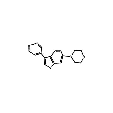 c1cncc(-c2csc3cc(N4CCOCC4)ccc23)c1